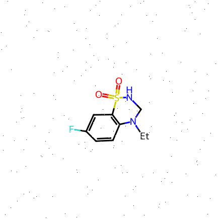 CCN1CNS(=O)(=O)c2cc(F)ccc21